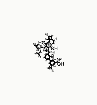 CNC(O)c1cc(-c2cccc(CN3O[C@@H](CN(CC(C)C)CC(C)C)[C@@H]([C@H](C)O)[C@H]3C(O)NC[C@@H](C)[C@@H]3C[C@H](C)C3(C)C)c2OC)cc(N(C)C)c1